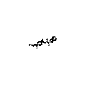 CC(C)CCC(=O)N1CCC2(CC1)CC2CNC(=O)N1Cc2ccncc2C1